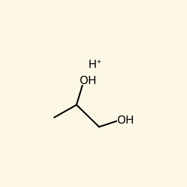 CC(O)CO.[H+]